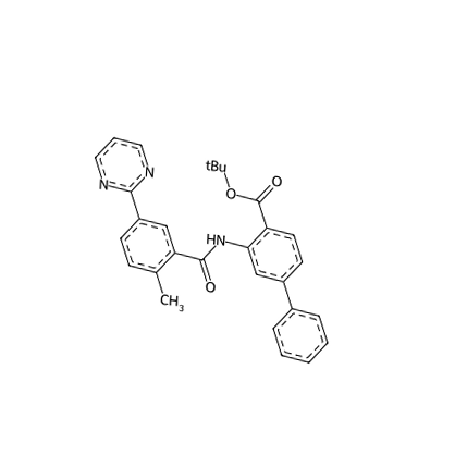 Cc1ccc(-c2ncccn2)cc1C(=O)Nc1cc(-c2ccccc2)ccc1C(=O)OC(C)(C)C